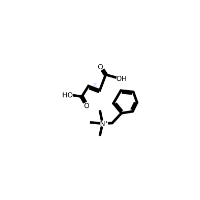 C[N+](C)(C)Cc1ccccc1.O=C(O)/C=C/C(=O)O